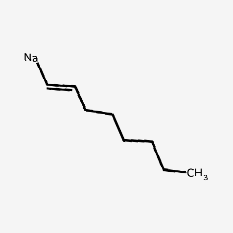 CCCCCCC=[CH][Na]